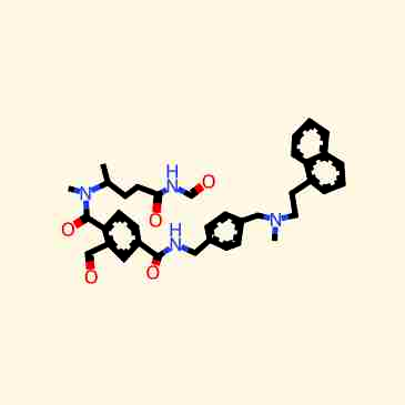 CC(CCC(=O)NC=O)N(C)C(=O)c1ccc(C(=O)NCc2ccc(CN(C)CCc3cccc4ccccc34)cc2)cc1C=O